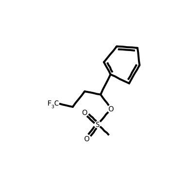 CS(=O)(=O)OC(CCC(F)(F)F)c1ccccc1